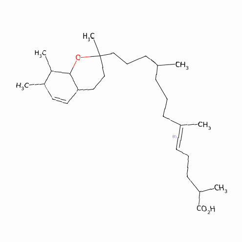 C/C(=C\CCC(C)C(=O)O)CCCC(C)CCCC1(C)CCC2C=CC(C)C(C)C2O1